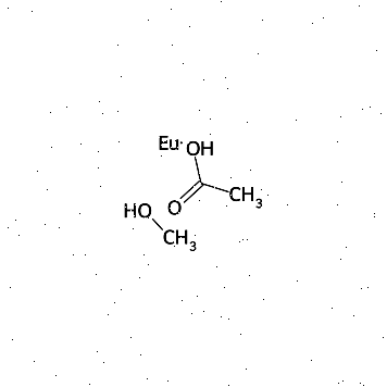 CC(=O)O.CO.[Eu]